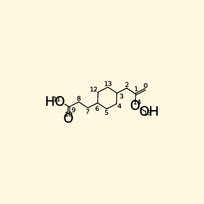 C=C(CC1CCC(CCC(=O)O)CC1)OO